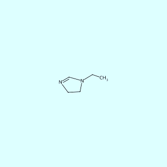 CCN1C=NCC1